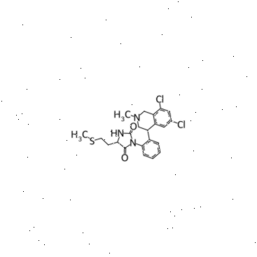 CSCCC1NC(=O)N(c2ccccc2C2CN(C)Cc3c(Cl)cc(Cl)cc32)C1=O